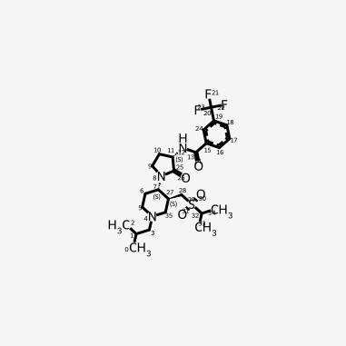 CC(C)CN1CC[C@H](N2CC[C@H](NC(=O)c3cccc(C(F)(F)F)c3)C2=O)[C@@H](CS(=O)(=O)C(C)C)C1